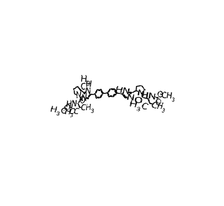 COC(=O)N[C@H](C(=O)N1CCCC1c1ncc(-c2ccc(-c3ccc(-c4cnc([C@]5(C)CCCN5C(=O)[C@@H](NC(=O)OC)C(C)C)[nH]4)cc3)cc2)[nH]1)C(C)C